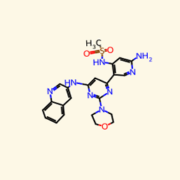 CS(=O)(=O)Nc1cc(N)ncc1-c1cc(Nc2cnc3ccccc3c2)nc(N2CCOCC2)n1